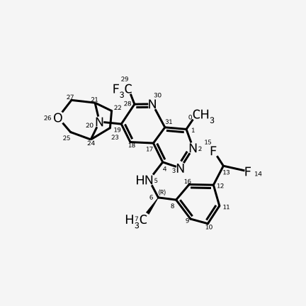 Cc1nnc(N[C@H](C)c2cccc(C(F)F)c2)c2cc(N3C4CCC3COC4)c(C(F)(F)F)nc12